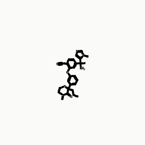 CCCC1(c2cccc(Oc3cc(C(C)(N)c4cncn4C)ccc3C#N)c2)OCCN(C)C1=O